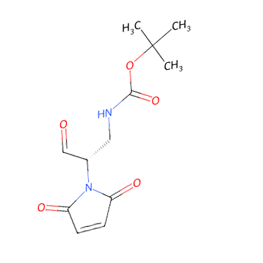 CC(C)(C)OC(=O)NC[C@@H](C=O)N1C(=O)C=CC1=O